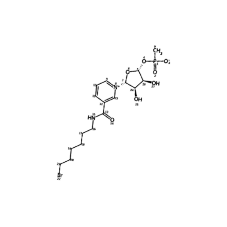 CP(=O)([O-])O[C@H]1O[C@@H]([n+]2cccc(C(=O)NCCCCCCBr)c2)[C@H](O)[C@@H]1O